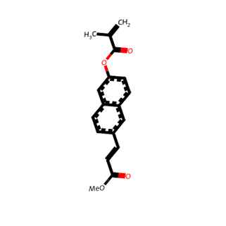 C=C(C)C(=O)Oc1ccc2cc(C=CC(=O)OC)ccc2c1